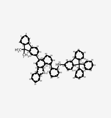 CC1(C)c2ccccc2-c2ccc(-c3cc4c5ccccc5sc4c4c(-c5ccccc5Nc5ccc6c(c5)-c5ccccc5C6(c5ccccc5)c5ccccc5)cccc34)cc21